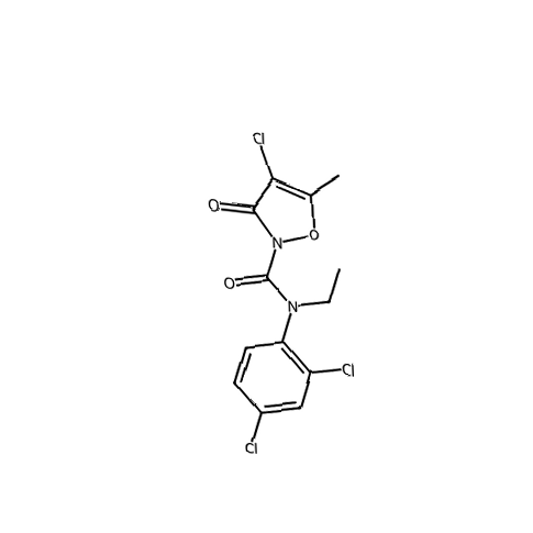 CCN(C(=O)n1oc(C)c(Cl)c1=O)c1ccc(Cl)cc1Cl